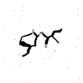 CCC1=CCNC(NC(=O)C(C)CC)=C1